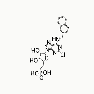 O=P(O)(O)CCC1OC(n2cnc3c(NCc4ccc5ccccc5c4)nc(Cl)nc32)C(O)C1O